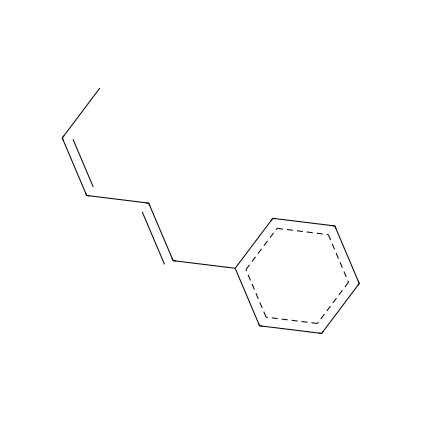 C/C=C\C=C\c1ccccc1